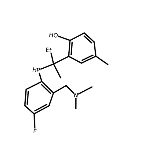 CCC(C)(Pc1ccc(F)cc1CN(C)C)c1cc(C)ccc1O